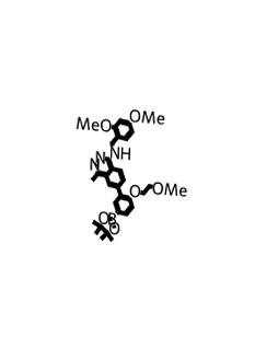 COCCOc1ccc(B2OC(C)(C)C(C)(C)O2)cc1-c1ccc2c(NCc3ccc(OC)cc3OC)nnc(C)c2c1